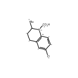 CC(C)(C)C1CCc2cc(Cl)ccc2N1C(=O)O